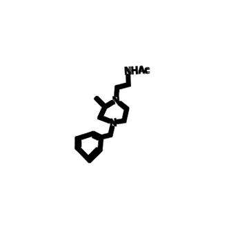 CC(=O)NCCN1CCN(Cc2ccccc2)CC1C